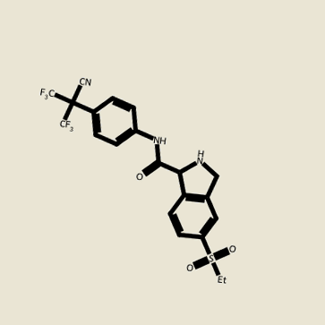 CCS(=O)(=O)c1ccc2c(c1)CNC2C(=O)Nc1ccc(C(C#N)(C(F)(F)F)C(F)(F)F)cc1